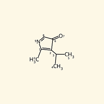 CC1=C(C(C)C)C(=O)C=N1